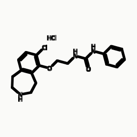 Cl.O=C(NCCOc1c(Cl)ccc2c1CCNCC2)Nc1ccccc1